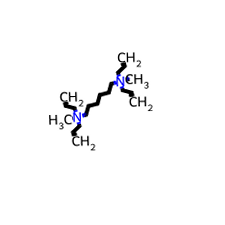 C=CC[N+](C)(CC=C)CCCCCC[N+](C)(CC=C)CC=C